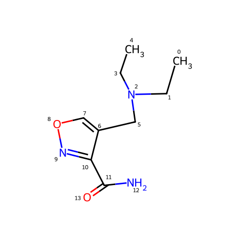 CCN(CC)Cc1conc1C(N)=O